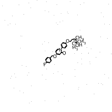 CN(CCOc1ccc(-n2ccc(OCc3ccc(F)cc3)cc2=O)cc1)C(C)(C)O